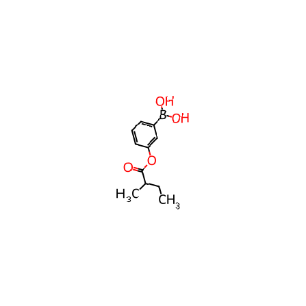 CCC(C)C(=O)Oc1cccc(B(O)O)c1